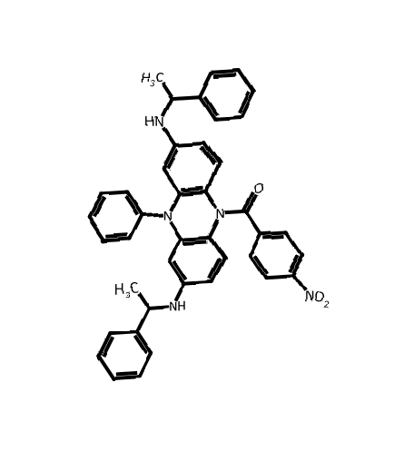 CC(Nc1ccc2c(c1)N(c1ccccc1)c1cc(NC(C)c3ccccc3)ccc1N2C(=O)c1ccc([N+](=O)[O-])cc1)c1ccccc1